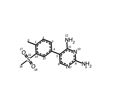 Cc1ccc(-c2cnc(N)nc2N)cc1S(C)(=O)=O